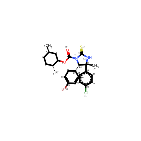 CC(C)[C@@H]1CC[C@@H](C)CC1OC(=O)N1C(=S)N[C@](C)(c2ccc(Cl)cc2)[C@@H]1C1C=CC(Br)=CC1